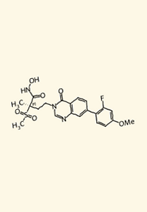 COc1ccc(-c2ccc3c(=O)n(CC[C@](C)(C(=O)NO)S(C)(=O)=O)cnc3c2)c(F)c1